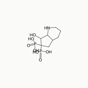 O=P(O)(O)C1(P(=O)(O)O)CC2CCCNC2C1O